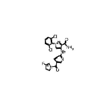 NC(=O)c1nn(-c2c(Cl)cccc2Cl)cc1Nc1ccc(C(=O)N2CC[C@@H](F)C2)cn1